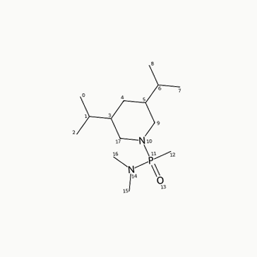 CC(C)C1CC(C(C)C)CN(P(C)(=O)N(C)C)C1